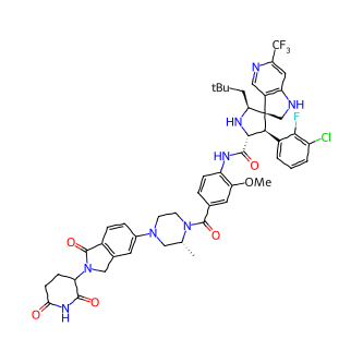 COc1cc(C(=O)N2CCN(c3ccc4c(c3)CN(C3CCC(=O)NC3=O)C4=O)C[C@H]2C)ccc1NC(=O)[C@@H]1N[C@@H](CC(C)(C)C)[C@@]2(CNc3cc(C(F)(F)F)ncc32)[C@H]1c1cccc(Cl)c1F